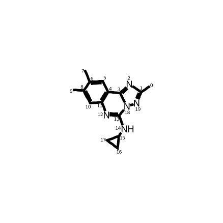 Cc1nc2c3cc(C)c(C)cc3nc(NC3CC3)n2n1